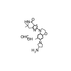 Cc1cc2c(cc1N1CCC(N)C1)OCCN2c1nc2c(s1)C(=O)NC(C)(C)C2.O=CO